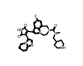 CN(CC1CCNCC1)C(=O)N1CCn2cc(C3=C(c4cnc5ccccn45)C(=O)NC3=O)c3cc(F)cc(c32)C1